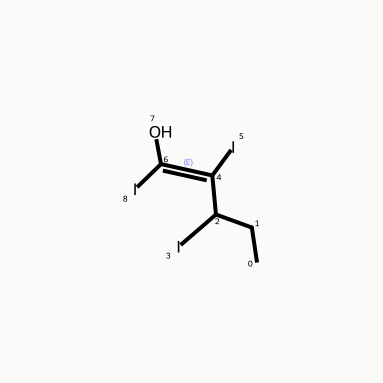 CCC(I)/C(I)=C(/O)I